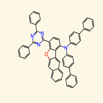 c1ccc(-c2ccc(N(c3ccc(-c4ccccc4)cc3)c3ccc(-c4nc(-c5ccccc5)nc(-c5ccccc5)n4)c4oc5cc6ccccc6cc5c34)cc2)cc1